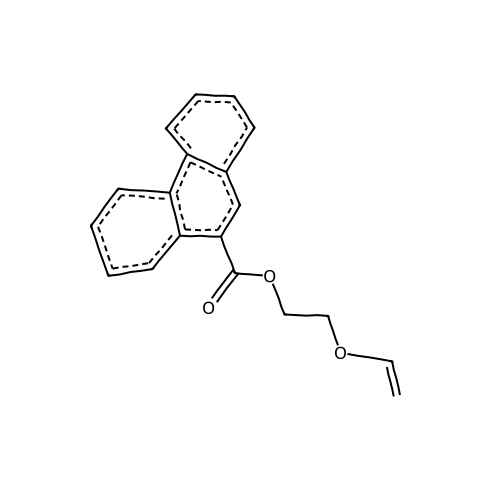 C=COCCOC(=O)c1cc2ccccc2c2ccccc12